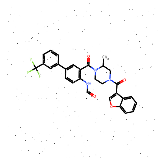 CC1CN(C(=O)c2coc3ccccc23)CCN1C(=O)c1cc(-c2cccc(C(F)(F)F)c2)ccc1NC=O